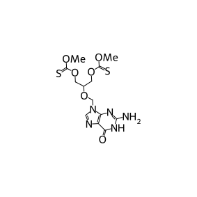 COC(=S)OCC(COC(=S)OC)OCn1cnc2c(=O)[nH]c(N)nc21